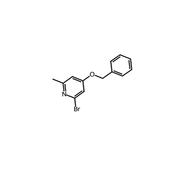 Cc1cc(OCc2ccccc2)cc(Br)n1